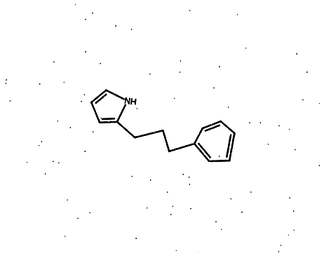 c1ccc(CCCc2ccc[nH]2)cc1